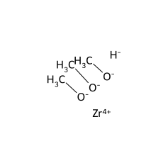 C[O-].C[O-].C[O-].[H-].[Zr+4]